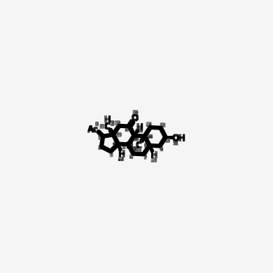 CC(=O)C1CC[C@H]2C3CC[C@H]4C[C@H](O)CCC4(C)[C@H]3C(=O)CC12C